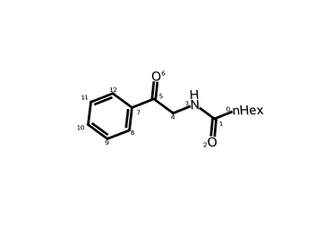 CCCCCCC(=O)NCC(=O)c1ccccc1